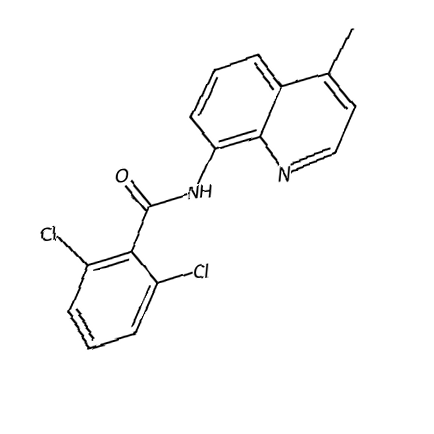 Cc1ccnc2c(NC(=O)c3c(Cl)cccc3Cl)cccc12